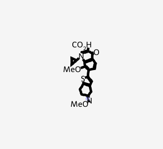 CO/N=C1\CCc2sc(-c3ccc4c(=O)c(C(=O)O)cn(C5CC5)c4c3OC)cc2C1